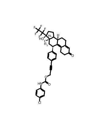 C[C@]12C[C@H](c3ccc(C#CCOC(=O)Nc4ccc(Cl)cc4)cc3)C3=C4CCC(=O)C=C4CC[C@H]3[C@@H]1CC[C@@]2(O)C(F)(F)C(F)(F)F